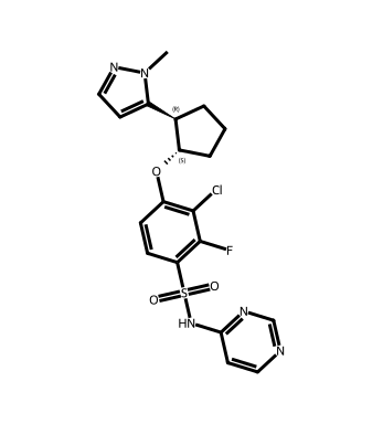 Cn1nccc1[C@H]1CCC[C@@H]1Oc1ccc(S(=O)(=O)Nc2ccncn2)c(F)c1Cl